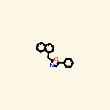 c1ccc(-c2cnc(Cc3cccc4ccccc34)o2)cc1